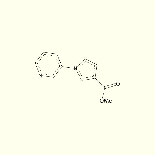 COC(=O)c1ccn(-c2cccnc2)c1